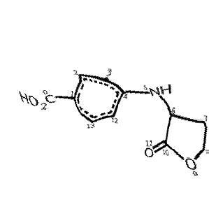 O=C(O)c1ccc(NC2CCOC2=O)cc1